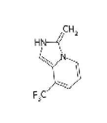 C=C1NC=C2C(C(F)(F)F)=CC=CN12